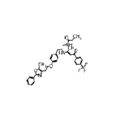 CCC(=O)NC[C@@H](Cc1ccc(OCCc2nc(-c3ccccc3)oc2C)cc1)N/C(C)=C/C(=O)c1ccc(C(F)(F)F)cc1